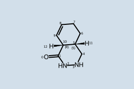 O=C1NNC[C@H]2CCC=C[C@@H]12